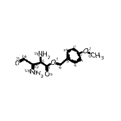 COc1ccc(COC(=O)C(N)C(N)C=O)cc1